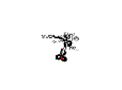 CCC1=C(N(C)C=O)C(c2ccc([N+](=O)[O-])cc2)C(N(C=O)CCCN2CCC(c3ccccc3)(c3ccccc3)CC2)=C(CCCCOC)N1